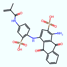 C=C(C)C(=O)Nc1ccc(Nc2cc(S(=O)(=O)O)c(N)c3c2C(=O)c2ccccc2C3=O)c(S(=O)(=O)O)c1